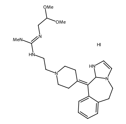 CNC(=NCC(OC)OC)NCCN1CCC(=C2c3ccccc3CCN3C=CNC23)CC1.I